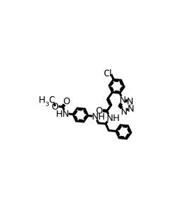 COC(=O)Nc1ccc(NCC(Cc2ccccc2)NC(=O)C=Cc2cc(Cl)ccc2-n2cnnn2)cc1